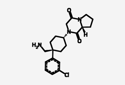 NC[C@]1(c2cccc(Cl)c2)CC[C@@H](N2CC(=O)N3CCC[C@@H]3C2=O)CC1